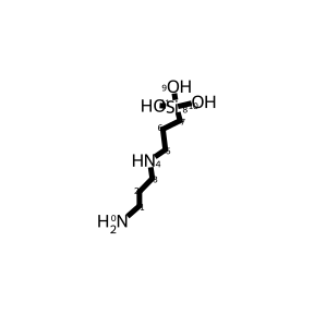 NCCCNCCC[Si](O)(O)O